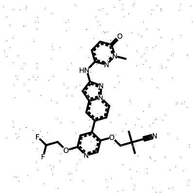 Cn1nc(Nc2cc3cc(-c4cc(OCC(F)F)ncc4OCC(C)(C)C#N)ccn3n2)ccc1=O